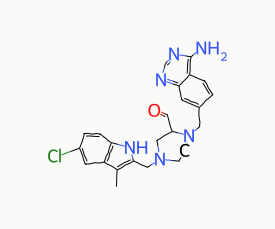 Cc1c(CN2CCN(Cc3ccc4c(N)ncnc4c3)C(C=O)C2)[nH]c2ccc(Cl)cc12